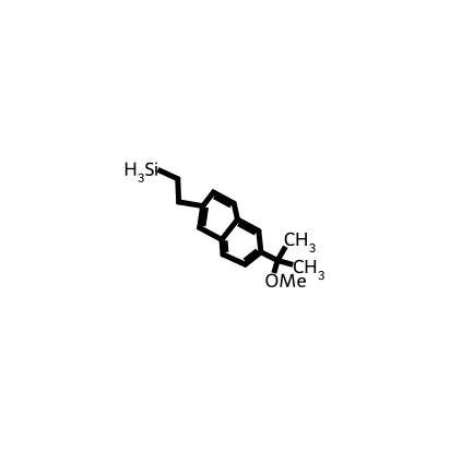 COC(C)(C)c1ccc2cc(CC[SiH3])ccc2c1